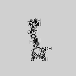 O=C(O)CN1CCN(CC(=O)NNc2ccc(C(=O)NCC(=O)N3CCC[C@H]3B(O)O)cc2)CCN2CC(=O)OC(C2)N(CC(=O)O)CC1